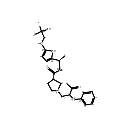 CC(=O)C(CN1CC[C@@H](C(=O)N[C@H](C)c2ccc(OCC(F)(F)F)s2)C1)Nc1ccccc1